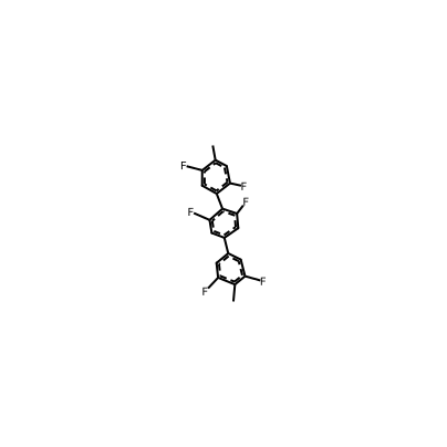 Cc1cc(F)c(-c2c(F)cc(-c3cc(F)c(C)c(F)c3)cc2F)cc1F